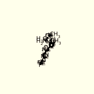 CN=[S@@]1C[C@@](C)(c2cc(-c3cc(-c4cnc(OCC(F)(F)F)cn4)no3)ccc2F)N=C(N)C1(C)C